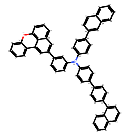 c1cc(-c2cc3c4c(cccc4c2)Oc2ccccc2-3)cc(N(c2ccc(-c3ccc(-c4cccc5ccccc45)cc3)cc2)c2ccc(-c3ccc4ccccc4c3)cc2)c1